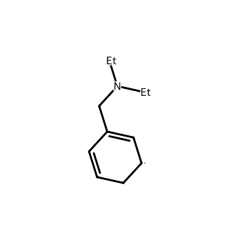 CCN(CC)CC1=C[CH]CC=C1